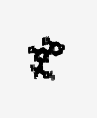 CC[C@H]1COCCN1c1cc(Cl)nc(C2C(C)C2(F)F)n1